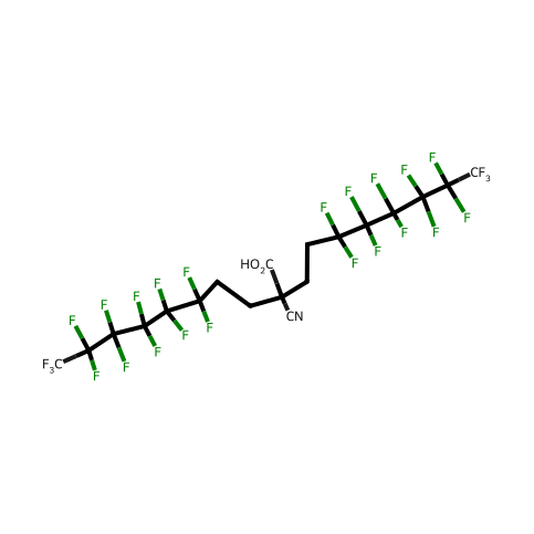 N#CC(CCC(F)(F)C(F)(F)C(F)(F)C(F)(F)C(F)(F)C(F)(F)F)(CCC(F)(F)C(F)(F)C(F)(F)C(F)(F)C(F)(F)C(F)(F)F)C(=O)O